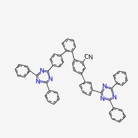 N#Cc1cc(-c2cccc(-c3nc(-c4ccccc4)nc(-c4ccccc4)n3)c2)ccc1-c1ccccc1-c1ccc(-c2nc(-c3ccccc3)nc(-c3ccccc3)n2)cc1